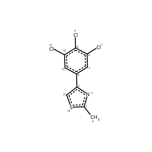 Cc1nc(-c2cc(Cl)c(Cl)c(Cl)c2)cs1